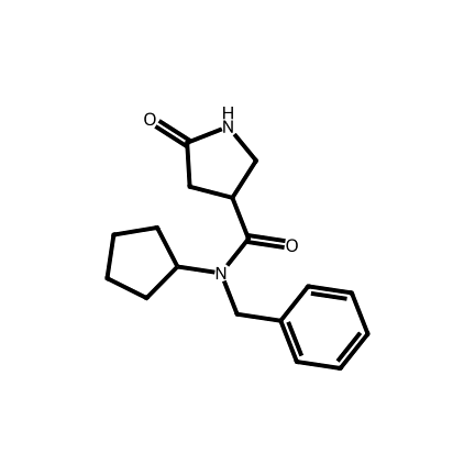 O=C1CC(C(=O)N(Cc2ccccc2)C2CCCC2)CN1